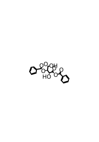 O=C(OC(=O)[C@H](O)[C@@H](OC(=O)c1ccccc1)C(=O)O)c1ccccc1